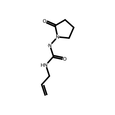 C=CCNC(=O)[N]N1CCCC1=O